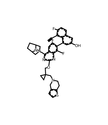 C#Cc1c(F)ccc2cc(O)cc(-c3c(F)cc4c(N5CC6CCC(C5)N6)nc(OCC5(CN6CCc7sccc7C6)CC5)nc4c3F)c12